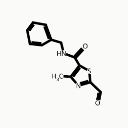 Cc1nc(C=O)sc1C(=O)NCc1ccccc1